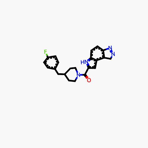 O=C(c1cc2c3c(ccc2[nH]1)N=NC3)N1CCC(Cc2ccc(F)cc2)CC1